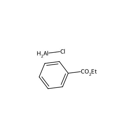 CCOC(=O)c1ccccc1.[AlH2][Cl]